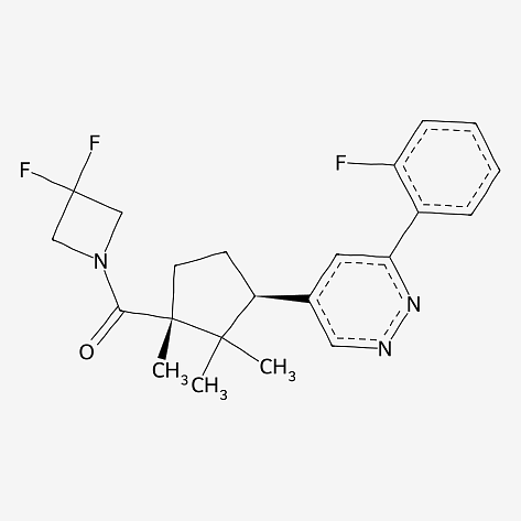 CC1(C)[C@H](c2cnnc(-c3ccccc3F)c2)CC[C@@]1(C)C(=O)N1CC(F)(F)C1